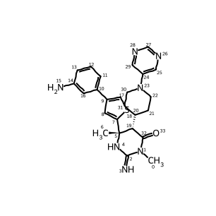 CN1C(=N)N[C@](C)(c2cc(-c3cccc(N)c3)cs2)[C@H](C2CCN(c3cncnc3)CC2)C1=O